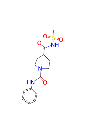 CS(=O)(=O)NC(=O)C1CCN(C(=O)Nc2ccccc2)CC1